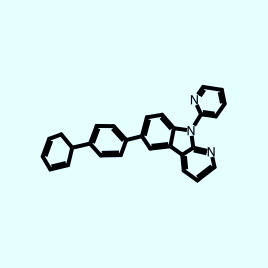 C1=CCC(c2ccc(-c3ccc4c(c3)c3cccnc3n4-c3ccccn3)cc2)C=C1